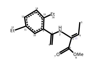 C=C(N/C(=C\C)C(=O)OC)c1cc(CC)ccc1CC